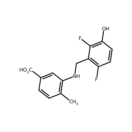 Cc1ccc(C(=O)O)cc1NCc1c(F)ccc(O)c1F